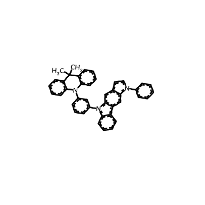 CC1(C)c2ccccc2N(c2cccc(-n3c4ccccc4c4cc5c(ccn5-c5ccccc5)cc43)c2)c2ccccc21